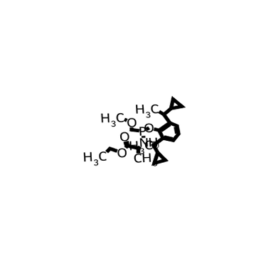 CCOC(=O)C(C)NP(COC)Oc1c(C(C)C2CC2)cccc1[C@H](C)C1CC1